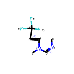 C/N=C\N(C)/C=C/C(F)(F)F